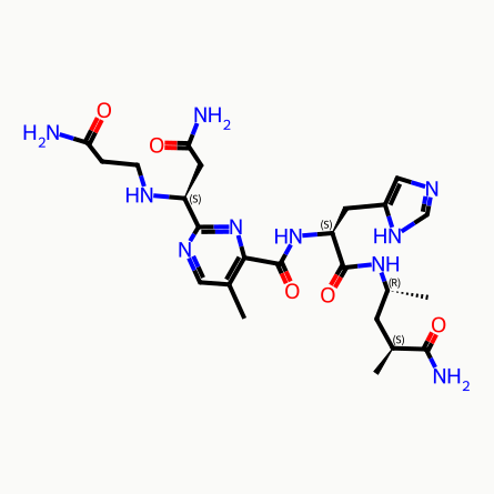 Cc1cnc([C@H](CC(N)=O)NCCC(N)=O)nc1C(=O)N[C@@H](Cc1cnc[nH]1)C(=O)N[C@H](C)C[C@H](C)C(N)=O